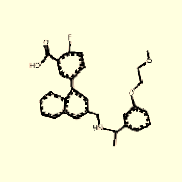 COCCOc1cccc(C(C)NCc2cc(-c3ccc(F)c(C(=O)O)c3)c3ccccc3c2)c1